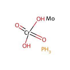 P.[Mo].[O]=[Cr](=[O])([OH])[OH]